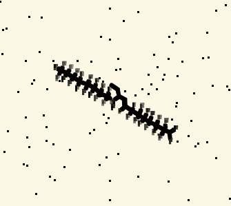 CCC(C=C(F)C(F)(F)C(F)(F)C(F)(F)C(F)(F)C(F)(F)C(F)(F)C(F)F)N(F)C(F)(F)C(F)(F)C(F)(F)C(F)(F)C(F)(F)C(F)(F)C(F)(F)C(F)(F)F